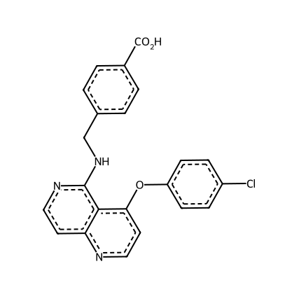 O=C(O)c1ccc(CNc2nccc3nccc(Oc4ccc(Cl)cc4)c23)cc1